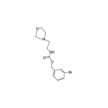 O=C(NCCN1CCOCC1)OCc1cccc(Br)c1